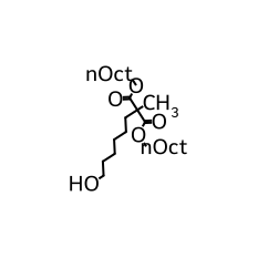 CCCCCCCCOC(=O)C(C)(CCCCCCO)C(=O)OCCCCCCCC